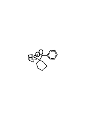 O=C(c1ccccc1)C1([SH]2(=O)CCCC2)CCCCC1